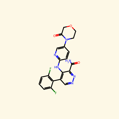 NC(=O)c1nncc(-c2c(F)cccc2F)c1Nc1ccc(N2CCOCC2=O)cn1